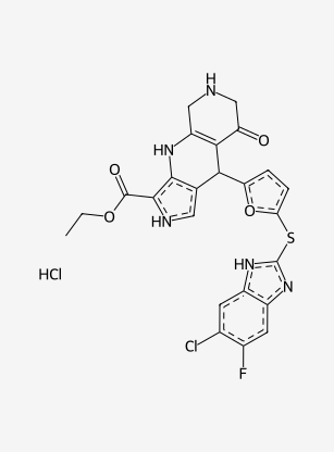 CCOC(=O)c1[nH]cc2c1NC1=C(C(=O)CNC1)C2c1ccc(Sc2nc3cc(F)c(Cl)cc3[nH]2)o1.Cl